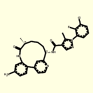 Cc1c(C(=O)N[C@H]2CCC[C@@H](C)C(=O)Nc3cc(N)ccc3-c3ccnc2c3)cnn1-c1cccc(Cl)c1F